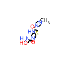 CN1CCN(C(=O)[C@@H]2CSC3(CCN(C(=O)[C@@H](N)CO)CC3)N2)CC1